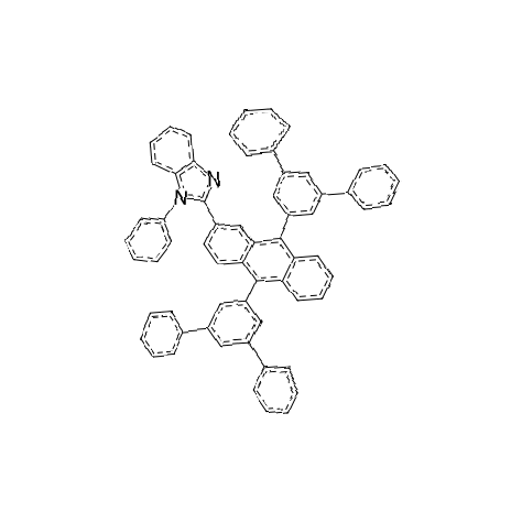 c1ccc(-c2cc(-c3ccccc3)cc(-c3c4ccccc4c(-c4cc(-c5ccccc5)cc(-c5ccccc5)c4)c4cc(-c5nc6ccccc6n5-c5ccccc5)ccc34)c2)cc1